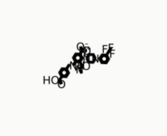 CN(C)C(=O)c1c(NCc2ccc(C(=O)O)cc2)ccc([N+](=O)[O-])c1N1CCN(c2cccc(C(F)(F)F)c2)CC1